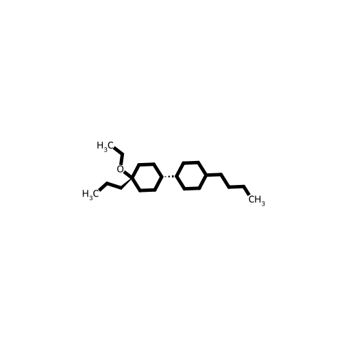 CCCCC1CCC([C@H]2CC[C@@](CCC)(OCC)CC2)CC1